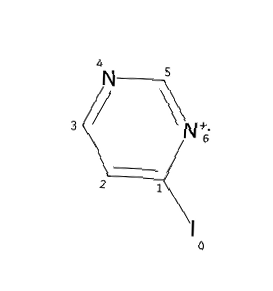 IC1=CC=NC=[N+]1